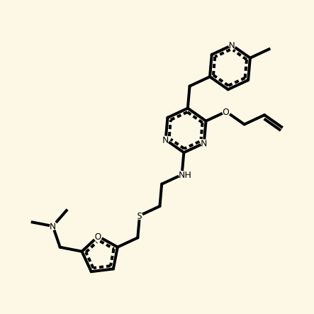 C=CCOc1nc(NCCSCc2ccc(CN(C)C)o2)ncc1Cc1ccc(C)nc1